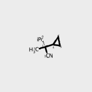 CC(C)[C@@](C)(C#N)C1CC1